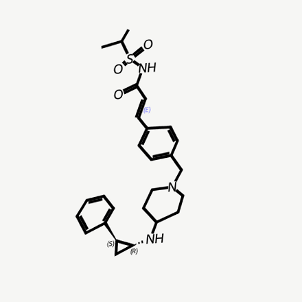 CC(C)S(=O)(=O)NC(=O)/C=C/c1ccc(CN2CCC(N[C@@H]3C[C@H]3c3ccccc3)CC2)cc1